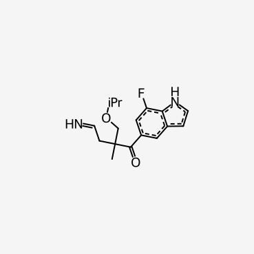 CC(C)OCC(C)(CC=N)C(=O)c1cc(F)c2[nH]ccc2c1